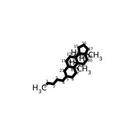 CCCCCC1CC[C@@]2(C)C(CC[C@H]3[C@@H]4CCC[C@@]4(C)CC[C@@H]32)C1